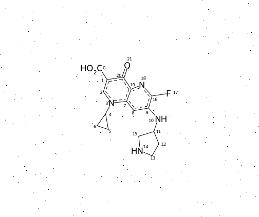 O=C(O)c1cn(C2CC2)c2cc(NC3CCNC3)c(F)nc2c1=O